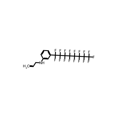 C=CCNc1cccc(C(F)(F)C(F)(F)C(F)(F)C(F)(F)C(F)(F)C(F)(F)C(F)(F)C(F)(F)F)c1